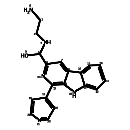 NCCNC(O)c1cc2c([nH]c3ccccc32)c(-c2ccncc2)n1